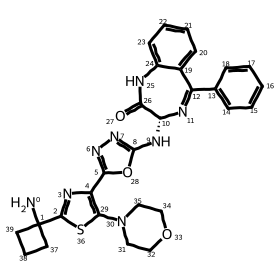 NC1(c2nc(-c3nnc(N[C@H]4N=C(c5ccccc5)c5ccccc5NC4=O)o3)c(N3CCOCC3)s2)CCC1